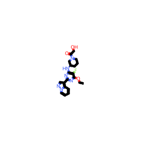 CCOc1nc(-c2cnn3ccccc23)nc(N[C@@H]2CCCN(C(=O)CO)C2)c1F